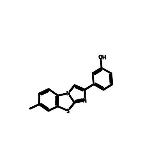 Cc1ccc2c(c1)sc1nc(-c3cccc(O)c3)cn12